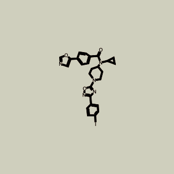 O=C(c1ccc(-c2cnco2)cc1)N(C1CC1)C1CCN(c2nc(-c3ccc(I)cc3)no2)CC1